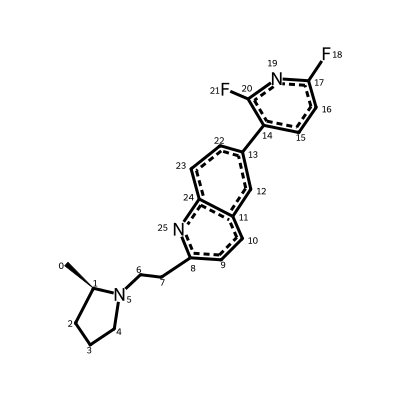 C[C@@H]1CCCN1CCc1ccc2cc(-c3ccc(F)nc3F)ccc2n1